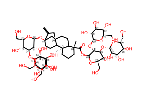 C=C1C[C@@]23CCC4[C@@](C)(CCC[C@@]4(C)C(=O)O[C@@H]4O[C@H](CO)[C@@H](O)[C@H](O[C@@H]5O[C@H](CO)[C@@H](O)[C@H](O)[C@H]5O)[C@H]4O[C@@H]4O[C@H](CO)[C@@H](O)[C@H](O)[C@H]4O)C2CC[C@@]1(O[C@@H]1O[C@H](CO)[C@@H](O)[C@H](O[C@@H]2O[C@H](CO)[C@@H](O)[C@H](O)[C@H]2O)[C@H]1O[C@@H]1O[C@H](CO)[C@@H](O)[C@H](O)[C@H]1O)C3